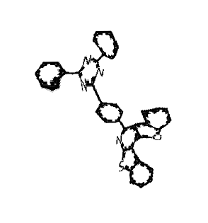 c1ccc(-c2nc(-c3ccccc3)nc(-c3ccc(-c4nc5sc6ccccc6c5c5oc6ccccc6c45)cc3)n2)cc1